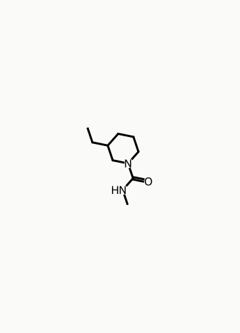 CCC1CCCN(C(=O)NC)C1